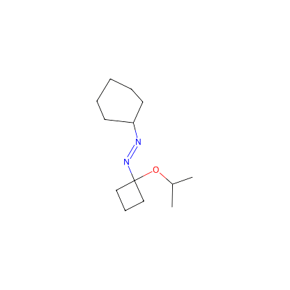 CC(C)OC1(N=NC2CCCCC2)CCC1